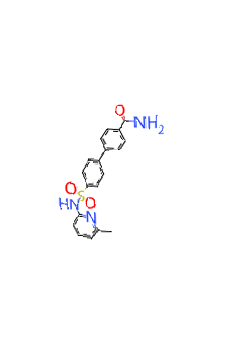 Cc1cccc(NS(=O)(=O)c2ccc(-c3ccc(C(N)=O)cc3)cc2)n1